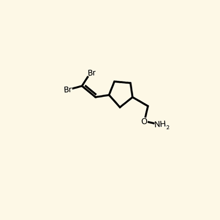 NOCC1CCC(C=C(Br)Br)C1